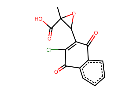 CC1(C(=O)O)OC1C1=C(Cl)C(=O)c2ccccc2C1=O